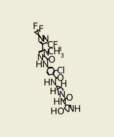 Cn1c(-c2cn(C3CC3(F)F)nc2C(F)(F)F)cnc1C(=O)Nc1ccc(C(=O)NC2[C@H]3CN(C(=O)N[C@@H]4CNC[C@H]4O)C[C@@H]23)c(Cl)c1